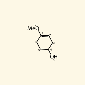 COC1=CCC(O)CC1